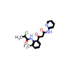 CC(Cl)C(=O)Nc1c(C(=O)CC(=O)Nc2ccccn2)cccc1C(F)(F)F